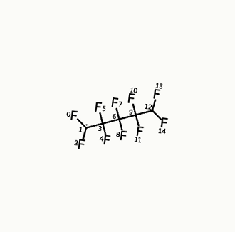 F[C](F)C(F)(F)C(F)(F)C(F)(F)C(F)F